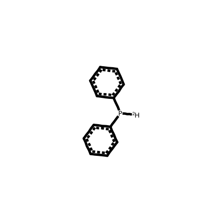 [2H]P(c1ccccc1)c1ccccc1